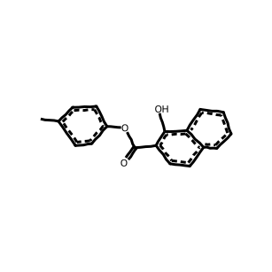 Cc1ccc(OC(=O)c2ccc3ccccc3c2O)cc1